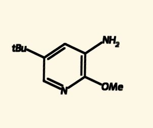 COc1ncc(C(C)(C)C)cc1N